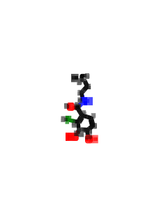 CCCNC(=O)c1ccc(O)c(O)c1F